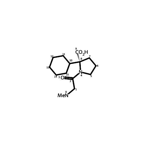 CNCC(=O)N1CCC[C@]1(C(=O)O)C1CCCCC1